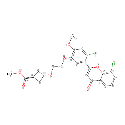 COc1cc(Br)c(-c2cc(=O)c3cccc(Cl)c3o2)cc1OCCO[C@H]1C[C@H](C(=O)OC)C1